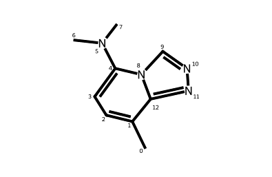 Cc1ccc(N(C)C)n2cnnc12